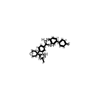 Cc1n[nH]c(C2(c3ccc(C(=O)Nc4cc(-c5ccc(F)cc5)ccc4N)cc3)CCOCC2)n1